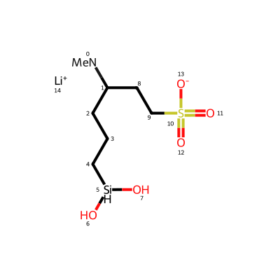 CNC(CCC[SiH](O)O)CCS(=O)(=O)[O-].[Li+]